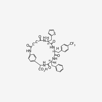 O=C1CCC(=O)N[C@H](Cc2cccs2)C(=O)N[C@@H](Cc2ccc(C(F)(F)F)cc2)C(=O)N[C@H](Cc2ccccc2)C(=O)NC(C(=O)O)c2ccc(cc2)N1